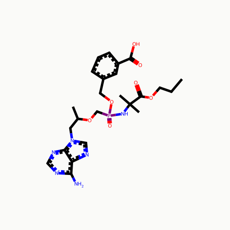 CCCOC(=O)C(C)(C)NP(=O)(COC(C)Cn1cnc2c(N)ncnc21)OCc1cccc(C(=O)O)c1